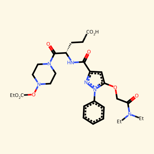 CCOC(=O)ON1CCN(C(=O)[C@H](CCC(=O)O)NC(=O)c2cc(OCC(=O)N(CC)CC)n(-c3ccccc3)n2)CC1